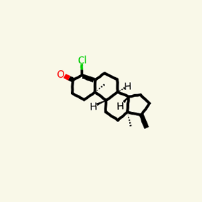 C=C1CC[C@H]2[C@@H]3CCC4=C(Cl)C(=O)CC[C@]4(C)[C@H]3CC[C@]12C